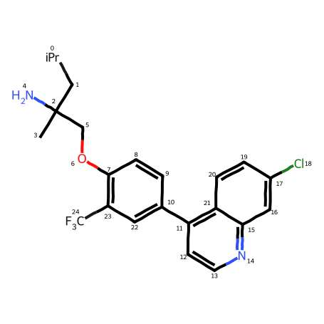 CC(C)CC(C)(N)COc1ccc(-c2ccnc3cc(Cl)ccc23)cc1C(F)(F)F